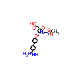 CS(=O)(=O)NCCN1C(=O)[C@H](CC(=O)O)C[C@H]1COc1ccc(-c2ccc(C(=N)N)cc2)cc1